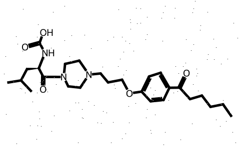 CCCCCC(=O)c1ccc(OCCCN2CCN(C(=O)[C@@H](CC(C)C)NC(=O)O)CC2)cc1